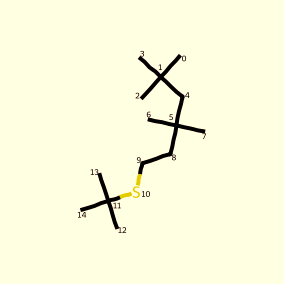 CC(C)(C)CC(C)(C)CCSC(C)(C)C